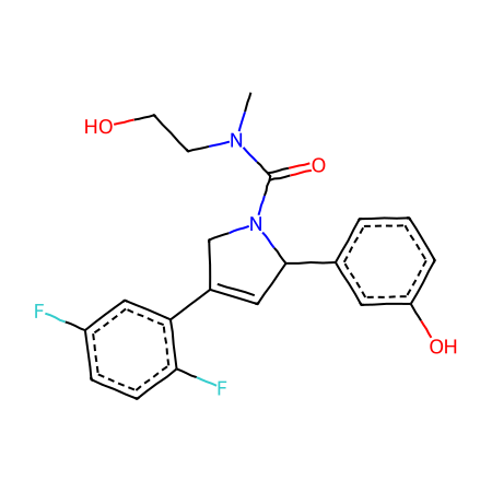 CN(CCO)C(=O)N1CC(c2cc(F)ccc2F)=CC1c1cccc(O)c1